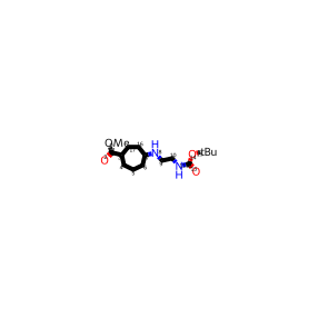 COC(=O)C1CCCC(NCCNC(=O)OC(C)(C)C)CC1